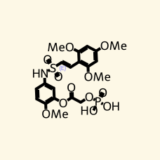 COc1cc(OC)c(/C=C/S(=O)(=O)Nc2ccc(OC)c(OC(=O)COP(=O)(O)O)c2)c(OC)c1